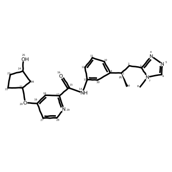 C[C@H](Cc1nncn1C)c1cccc(NC(=O)c2cc(OC3CCC(O)C3)ccn2)c1